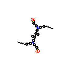 CCCCCCCCc1ccc(-c2ccc(N(c3ccc(-c4ccc5c(c4)CS(=O)(=O)C5)cc3)c3ccc(-c4ccc(-c5ccc(-c6ccc(N(c7ccc(-c8ccc(CCCCCCCC)cc8)cc7)c7ccc(-c8ccc9c(c8)CS(=O)(=O)C9)cc7)cc6)c6ccccc56)c5ccccc45)cc3)cc2)cc1